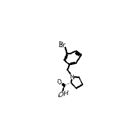 O=C(O)[C@H]1CCCN1Cc1cccc(Br)c1